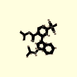 CC(C)OC(=O)c1cnc(S(C)(=O)=O)nc1-c1cn(OC(C)C)c2ccccc12